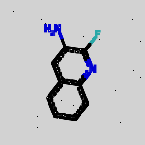 Nc1cc2ccccc2nc1F